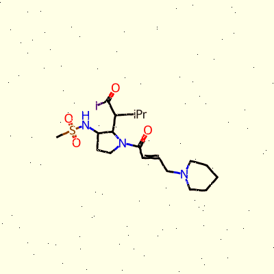 CC(C)C(C(=O)I)C1C(NS(C)(=O)=O)CCN1C(=O)C=CCN1CCCCC1